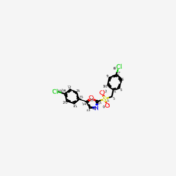 O=S(=O)(Cc1ccc(Cl)cc1)c1ncc(-c2ccc(Cl)cc2)o1